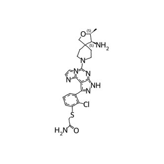 C[C@@H]1OCC2(CCN(c3nc4[nH]nc(-c5cccc(SCC(N)=O)c5Cl)c4c4nccn34)CC2)[C@@H]1N